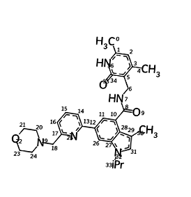 Cc1cc(C)c(CNC(=O)c2cc(-c3cccc(CN4CCOCC4)n3)cc3c2c(C)cn3C(C)C)c(=O)[nH]1